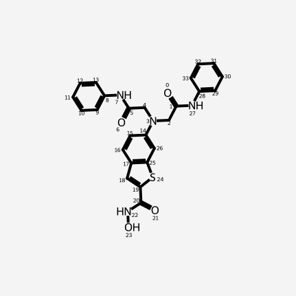 O=C(CN(CC(=O)Nc1ccccc1)c1ccc2cc(C(=O)NO)sc2c1)Nc1ccccc1